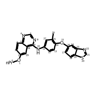 CCCOc1ccc2ncnc(Nc3ccc(Oc4ccc5scnc5c4)c(C)c3)c2c1